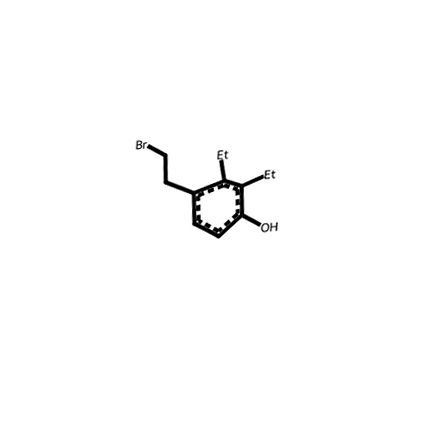 CCc1c(O)ccc(CCBr)c1CC